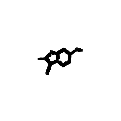 COc1ccn2c(=O)n(C)nc2c1